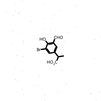 CC(C(=O)O)c1cc(Br)c(O)c(C=O)c1